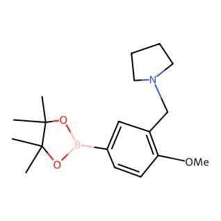 COc1ccc(B2OC(C)(C)C(C)(C)O2)cc1CN1CCCC1